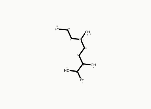 CCC(O)C(O)CCN(C)CCC(C)C